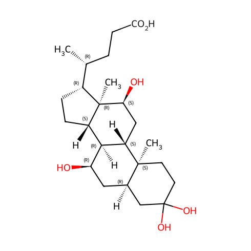 C[C@H](CCC(=O)O)[C@H]1CC[C@H]2[C@@H]3[C@H](O)C[C@@H]4CC(O)(O)CC[C@]4(C)[C@H]3C[C@H](O)[C@]12C